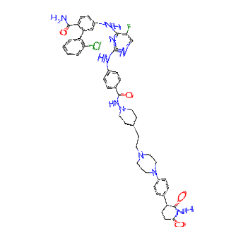 NC(=O)c1ccc(Nc2nc(Nc3ccc(C(=O)NN4CCC(CCN5CCN(c6ccc(C7CCC(=O)NC7=O)cc6)CC5)CC4)cc3)ncc2F)cc1-c1ccccc1Cl